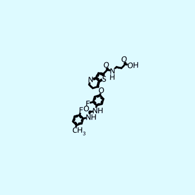 Cc1ccc(F)c(NC(=O)Nc2ccc(OC3=c4sc(C(=O)NCCC(=O)O)cc4=NCC3)cc2F)c1